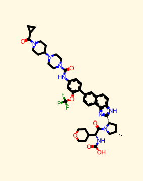 C[C@H]1C[C@@H](c2nc3c(ccc4cc(-c5ccc(NC(=O)N6CCN(C7CCN(C(=O)C8CC8)CC7)CC6)cc5OC(F)(F)F)ccc43)[nH]2)N(C(=O)[C@@H](NC(=O)O)C2CCOCC2)C1